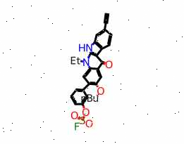 C#Cc1ccc2c(c1)[nH]c1c2c(=O)c2cc(OCCCC)c(-c3cccc(OS(=O)(=O)F)c3)cc2n1CC